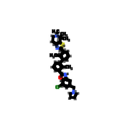 Cc1c(-c2nc3cc(CN4CCCC4)cc(Cl)c3o2)cccc1-c1cccc(-c2nc3c(s2)C(C)(C)N(C)CC3)c1C